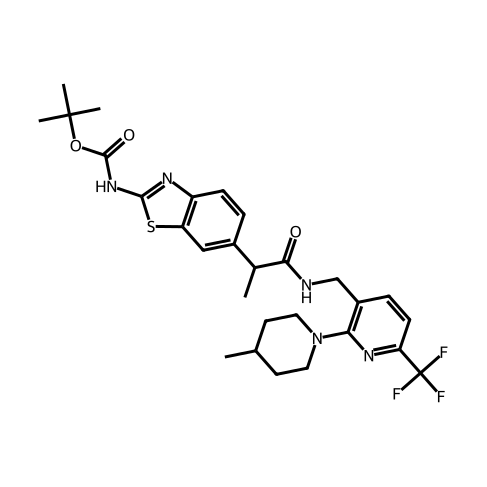 CC1CCN(c2nc(C(F)(F)F)ccc2CNC(=O)C(C)c2ccc3nc(NC(=O)OC(C)(C)C)sc3c2)CC1